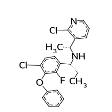 CC[C@@H](N[C@H](C)c1cccnc1Cl)c1ccc(Cl)c(Oc2ccccc2)c1F